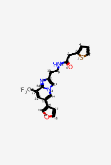 O=C(Cc1cccs1)NCCc1cn2cc(-c3ccoc3)cc(C(F)(F)F)c2n1